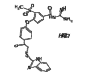 CS(=O)(=O)c1cc(C(=O)NC(=N)N)ccc1Oc1ccc(C(=O)CSc2nc3ccccc3[nH]2)cc1.Cl.Cl